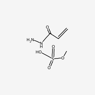 C=CC(=O)NN.COS(=O)(=O)O